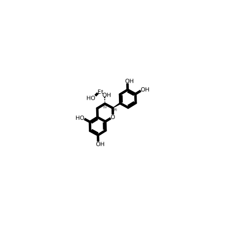 CCO.Oc1cc(O)c2c(c1)O[C@H](c1ccc(O)c(O)c1)[C@@H](O)C2